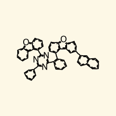 c1ccc(-c2nc(-c3ccccc3-c3cccc4oc5ccc(-c6ccc7ccccc7c6)cc5c34)nc(-c3cccc4oc5ccccc5c34)n2)cc1